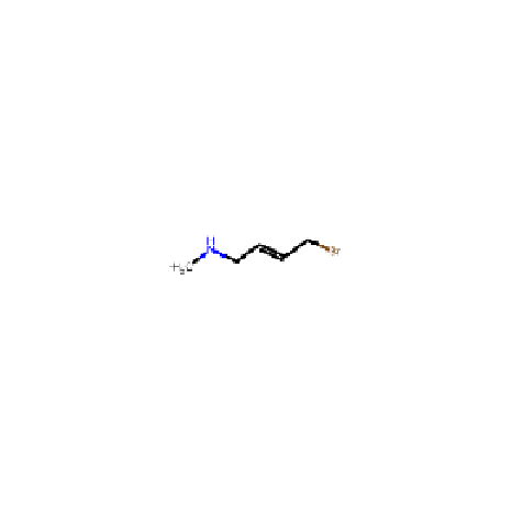 [CH2]NC/C=C/CBr